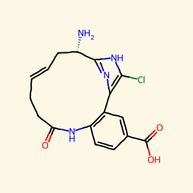 N[C@H]1C/C=C/CCC(=O)Nc2ccc(C(=O)O)cc2-c2nc1[nH]c2Cl